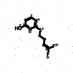 Oc1ccnc(SCCC=C(F)F)n1